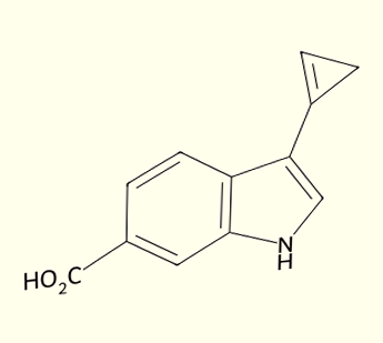 O=C(O)c1ccc2c(C3=CC3)c[nH]c2c1